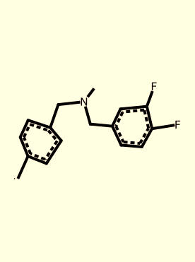 [CH2]c1ccc(CN(C)Cc2ccc(F)c(F)c2)cc1